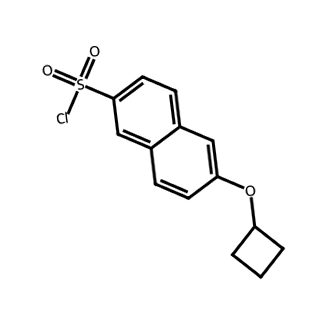 O=S(=O)(Cl)c1ccc2cc(OC3CCC3)ccc2c1